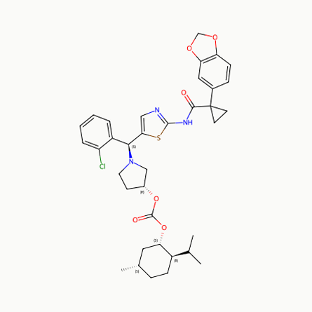 CC(C)[C@H]1CC[C@H](C)C[C@@H]1OC(=O)O[C@@H]1CCN([C@H](c2cnc(NC(=O)C3(c4ccc5c(c4)OCO5)CC3)s2)c2ccccc2Cl)C1